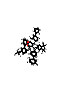 Cc1cc2c3c(c1)N(c1ccc(C(C)(C)C)cc1-c1ccccc1)c1cc(-c4ccccc4)ccc1B3c1cc3c(cc1N2c1ccc(-c2ccccc2)cc1C)C(C)(C)CC3(C)C